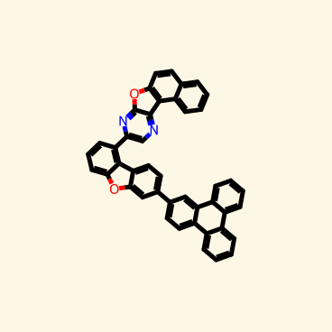 c1ccc2c(c1)ccc1oc3nc(-c4cccc5oc6cc(-c7ccc8c9ccccc9c9ccccc9c8c7)ccc6c45)cnc3c12